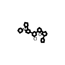 Clc1cc(-c2ccc3c(c2)c2ccccc2n3-c2ccccc2)cc(-c2cccc3c2oc2c(-c4ccccc4)cccc23)c1